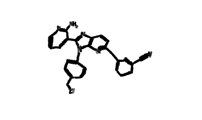 N#Cc1cccc(-c2ccc3nc(-c4cccnc4N)n(-c4ccc(CCl)cc4)c3n2)c1